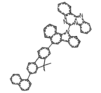 CC1(C)c2cc(-c3cccc4ccccc34)ccc2-c2ccc(-c3cc4c5ccccc5n(-c5nc6ccccc6c6nc7ccccc7n56)c4c4ccccc34)cc21